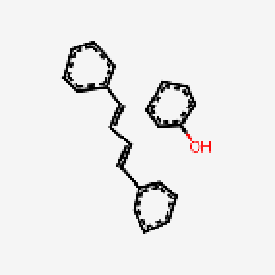 C(/C=C/c1ccccc1)=C\c1ccccc1.Oc1ccccc1